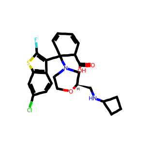 O=C(O)C1C=CC=CC1(c1c(F)sc2cc(Cl)ccc12)N1CCO[C@H](CNC2CCC2)C1